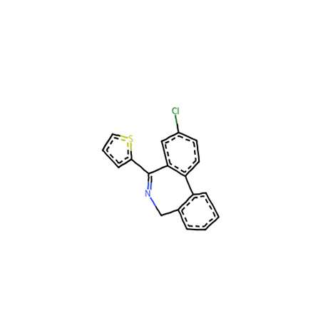 Clc1ccc2c(c1)C(c1cccs1)=NCc1ccccc1-2